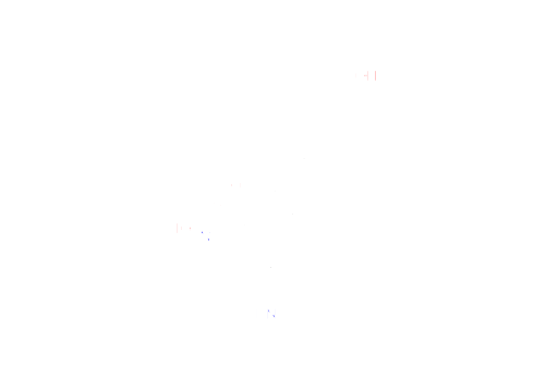 O=C(NO)C1(C(O)c2ccc(Oc3ccc(O)cc3)cc2)CCC2(CCCNC2)CC1